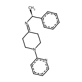 C[C@H](N=C1CCN(c2ccccn2)CC1)c1ccccc1